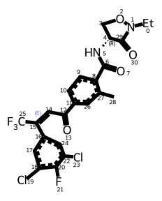 CCN1OC[C@@H](NC(=O)c2ccc(C(=O)/C=C(\c3cc(Cl)c(F)c(Cl)c3)C(F)(F)F)cc2C)C1=O